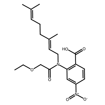 CCOCC(=O)N(C/C=C(\C)CCC=C(C)C)c1cc([N+](=O)[O-])ccc1C(=O)O